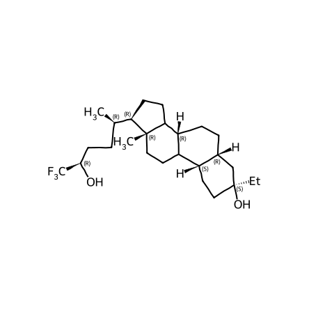 CC[C@]1(O)CC[C@@H]2C3CC[C@@]4(C)C(CC[C@@H]4[C@H](C)CC[C@@H](O)C(F)(F)F)[C@@H]3CC[C@@H]2C1